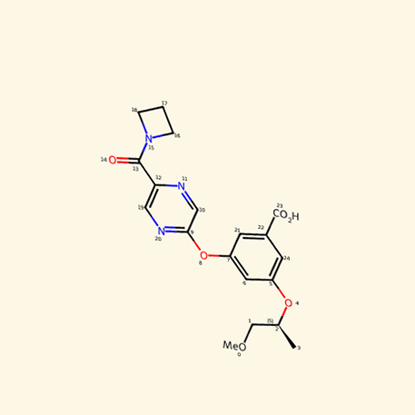 COC[C@H](C)Oc1cc(Oc2cnc(C(=O)N3CCC3)cn2)cc(C(=O)O)c1